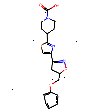 O=C(O)N1CCC(c2nc(C3=NOC(COc4ccccc4)C3)cs2)CC1